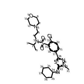 CC(C)N(CCN1CCOCC1)S(=O)(=O)c1cc(-c2nn(C)c(=NC3CCCCC3)s2)ccc1Cl